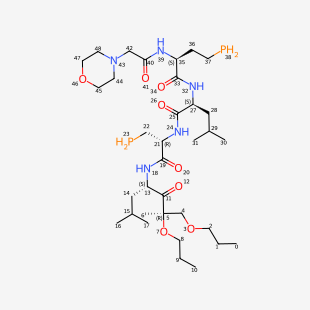 CCCOC[C@@](C)(OCCC)C(=O)[C@H](CC(C)C)NC(=O)[C@H](CP)NC(=O)[C@H](CC(C)C)NC(=O)[C@H](CCP)NC(=O)CN1CCOCC1